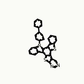 c1ccc(-c2ccc(-n3c4ccccc4c4c5sc6ncncc6c5c5sc6ccccc6c5c43)cc2)cc1